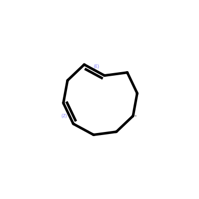 [CH]1CC/C=C\C/C=C/CC1